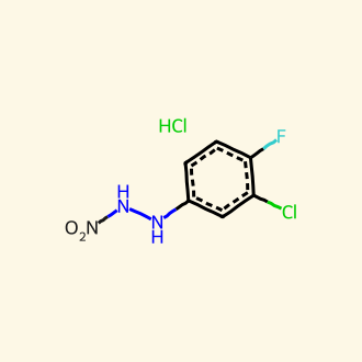 Cl.O=[N+]([O-])NNc1ccc(F)c(Cl)c1